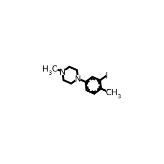 Cc1ccc(N2CCN(C)CC2)cc1I